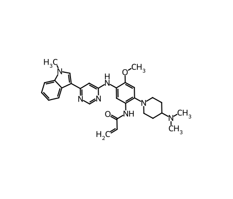 C=CC(=O)Nc1cc(Nc2cc(-c3cn(C)c4ccccc34)ncn2)c(OC)cc1N1CCC(N(C)C)CC1